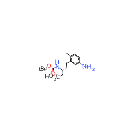 Cc1ccc(N)cc1CC[C@H](CC(=O)O)NC(=O)OC(C)(C)C